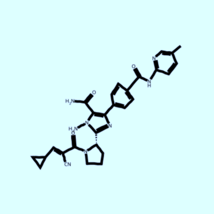 Cc1ccc(NC(=O)c2ccc(-c3nc([C@@H]4CCCN4C(=O)/C(C#N)=C/C4CC4)n(N)c3C(N)=O)cc2)nc1